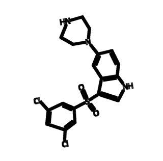 O=S(=O)(c1cc(Cl)cc(Cl)c1)c1c[nH]c2ccc(N3CCNCC3)cc12